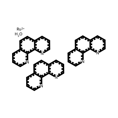 O.[Ru+2].c1cnc2c(c1)ccc1cccnc12.c1cnc2c(c1)ccc1cccnc12.c1cnc2c(c1)ccc1cccnc12